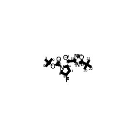 CC(C)(C)OC(=O)N1C[C@@H](F)C[C@H]1C(=O)c1noc(C(C)(C)C)n1